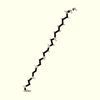 CCCCCCCCCCOCCOCCOCCOCCOCCOCCCCCCN=[N+]=[N-]